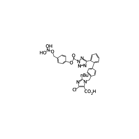 CCCCc1nc(Cl)c(C(=O)O)n1Cc1ccc(-c2ccccc2-c2nnn(C(=O)Oc3ccc(CON(O)O)cc3)n2)cc1